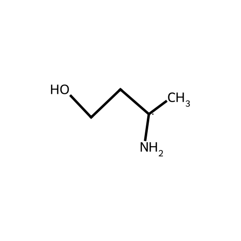 C[C](N)CCO